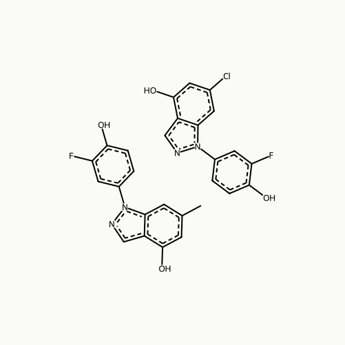 Cc1cc(O)c2cnn(-c3ccc(O)c(F)c3)c2c1.Oc1ccc(-n2ncc3c(O)cc(Cl)cc32)cc1F